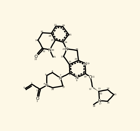 C=CC(=O)N1CCN(c2nc(OC[C@@H]3CCCN3C)nc3c2CN(c2cccc4c2N(C)C(=O)CC4)C3)CC1